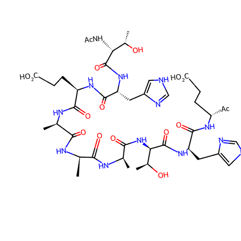 CC(=O)N[C@@H](C(=O)N[C@H](Cc1c[nH]cn1)C(=O)N[C@H](CCC(=O)O)C(=O)N[C@H](C)C(=O)N[C@H](C)C(=O)N[C@H](C)C(=O)N[C@@H](C(=O)N[C@H](Cc1c[nH]cn1)C(=O)N[C@H](CCC(=O)O)C(C)=O)[C@H](C)O)[C@H](C)O